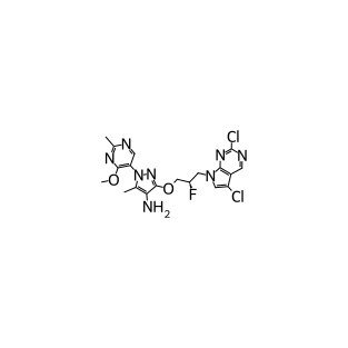 COc1nc(C)ncc1-n1nc(OC[C@H](F)Cn2cc(Cl)c3cnc(Cl)nc32)c(N)c1C